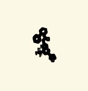 O=C(Cc1cn2cc(-c3ccoc3)cc(C(F)(F)F)c2n1)N1CCCCC1c1ccccc1